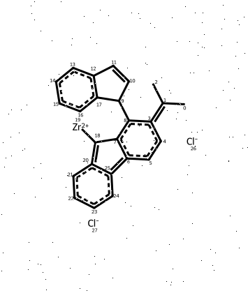 CC(C)=c1ccc2c(c1C1C=Cc3ccccc31)[C]([Zr+2])=c1ccccc1=2.[Cl-].[Cl-]